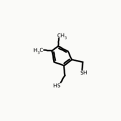 Cc1cc(CS)c(CS)cc1C